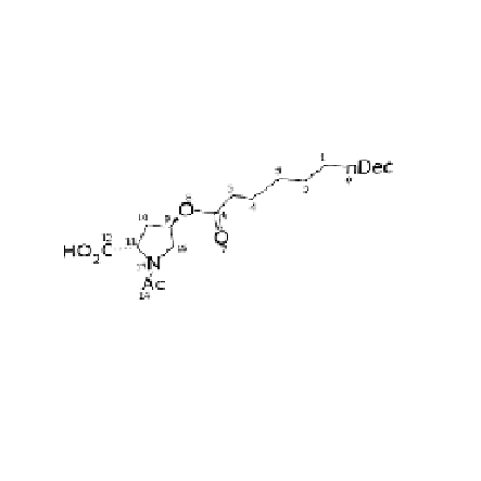 CCCCCCCCCCCCCCCC(=O)O[C@@H]1C[C@@H](C(=O)O)N(C(C)=O)C1